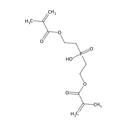 C=C(C)C(=O)OCCP(=O)(O)CCOC(=O)C(=C)C